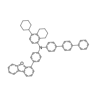 c1ccc(-c2ccc(-c3ccc(N(c4ccc(-c5cccc6c5oc5ccccc56)cc4)c4ccc(C5CCCCC5)c5c4CCCC5)cc3)cc2)cc1